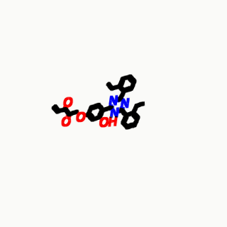 C=CC(=O)C(=O)COc1ccc(-c2nc(-c3ccccc3CC)nc(-c3ccccc3CC)n2)c(O)c1